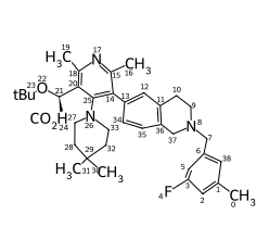 Cc1cc(F)cc(CN2CCc3cc(-c4c(C)nc(C)c([C@H](OC(C)(C)C)C(=O)O)c4N4CCC(C)(C)CC4)ccc3C2)c1